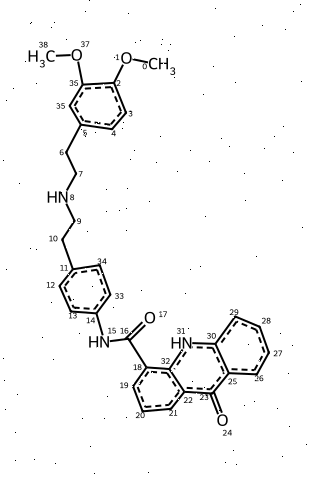 COc1ccc(CCNCCc2ccc(NC(=O)c3cccc4c(=O)c5ccccc5[nH]c34)cc2)cc1OC